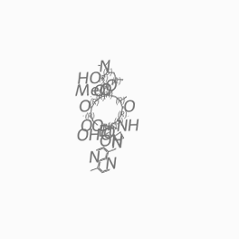 CC[C@H]1OC(=O)[C@H](C)C(=O)[C@H](C)[C@@H](O[C@@H]2O[C@H](C)C[C@H](N(C)C)[C@H]2O)[C@](C)(OC)C[C@@H](C)C(=O)[C@H](C)[C@H](NC2CN(Cc3c(O)cnc4c(C)ccnc34)C2)[C@]1(C)OC=O